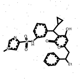 CCC(Cc1cc(O)c(C(c2cccc(NS(=O)(=O)c3cn(C)cn3)c2)C2CC2)c(=O)o1)c1ccccc1